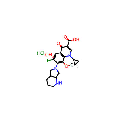 COc1c(N2CC3CCCNC3C2)c(F)cc2c(=O)c(C(=O)O)cn(C3CC3)c12.Cl.O